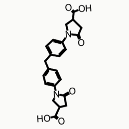 O=C(O)C1CC(=O)N(c2ccc(Cc3ccc(N4CC(C(=O)O)CC4=O)cc3)cc2)C1